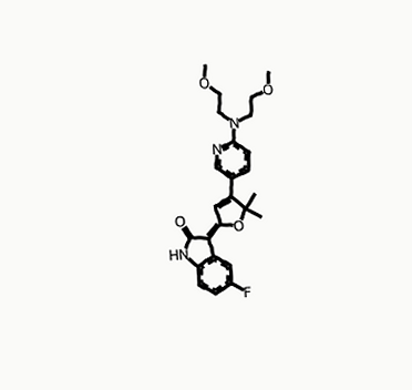 COCCN(CCOC)c1ccc(C2=C/C(=C3\C(=O)Nc4ccc(F)cc43)OC2(C)C)cn1